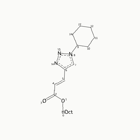 CCCCCCCCOC(=O)C=Cc1cn(C2CCCCC2)nn1